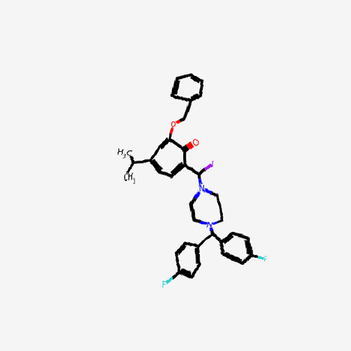 CC(C)c1ccc(C(I)N2CCN(C(c3ccc(F)cc3)c3ccc(F)cc3)CC2)c(=O)c(OCc2ccccc2)c1